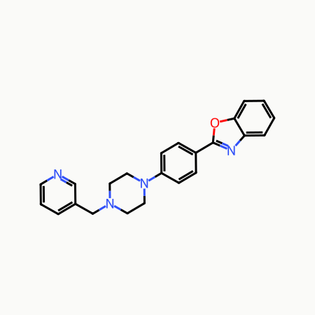 c1cncc(CN2CCN(c3ccc(-c4nc5ccccc5o4)cc3)CC2)c1